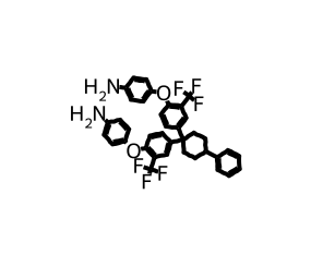 Nc1ccc(Oc2ccc(C3(c4ccc(Oc5ccc(N)cc5)c(C(F)(F)F)c4)CCC(c4ccccc4)CC3)cc2C(F)(F)F)cc1